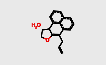 C=CCC1=C2OCCC2c2cccc3cccc1c23.O